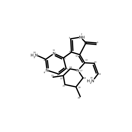 C=c1[nH]cc(-c2ccnc(N)n2)/c1=C(/C=C\N)N1CC(C)CC(C)C1